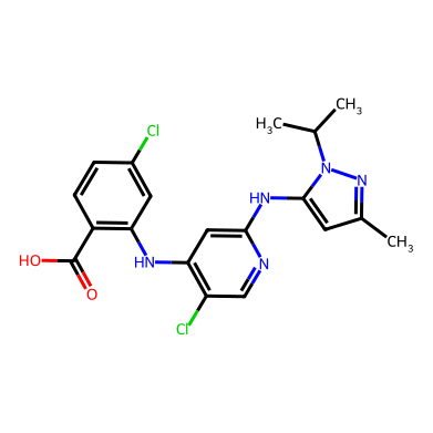 Cc1cc(Nc2cc(Nc3cc(Cl)ccc3C(=O)O)c(Cl)cn2)n(C(C)C)n1